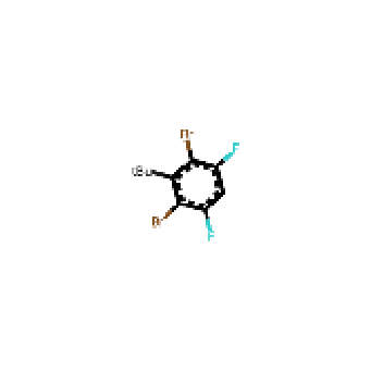 CC(C)(C)c1c(Br)c(F)cc(F)c1Br